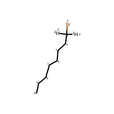 [2H]C([2H])(Br)CCCCCCC